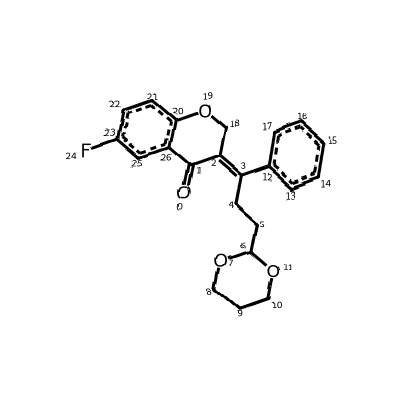 O=C1C(=C(CCC2OCCCO2)c2ccccc2)COc2ccc(F)cc21